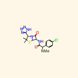 CNC(C(=O)NC1C(=O)N2C1SC(C)(C)C2c1nnn[nH]1)c1ccc(Cl)cc1